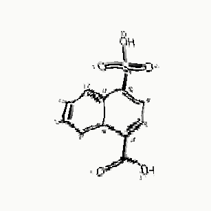 O=C(O)c1ccc(S(=O)(=O)O)c2ccccc12